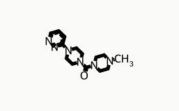 CN1CCN(C(=O)N2CCN(c3cccnn3)CC2)CC1